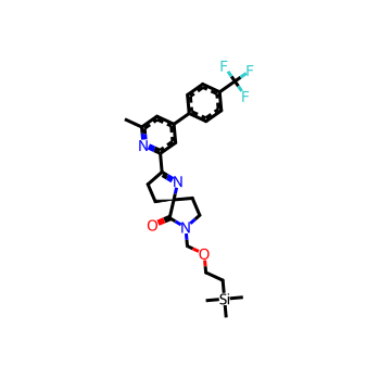 Cc1cc(-c2ccc(C(F)(F)F)cc2)cc(C2=N[C@]3(CC2)CCN(COCC[Si](C)(C)C)C3=O)n1